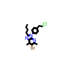 CCCCc1nc2c(C)c(Br)c(C)nc2n1-c1ccc(CCCl)cc1